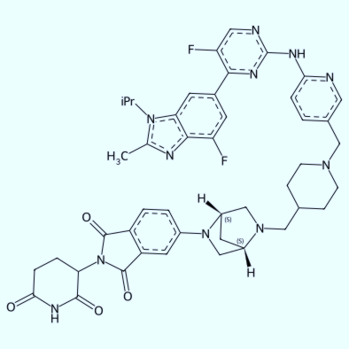 Cc1nc2c(F)cc(-c3nc(Nc4ccc(CN5CCC(CN6C[C@@H]7C[C@H]6CN7c6ccc7c(c6)C(=O)N(C6CCC(=O)NC6=O)C7=O)CC5)cn4)ncc3F)cc2n1C(C)C